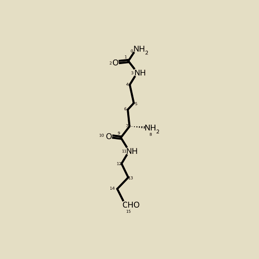 NC(=O)NCCC[C@H](N)C(=O)NCCCC=O